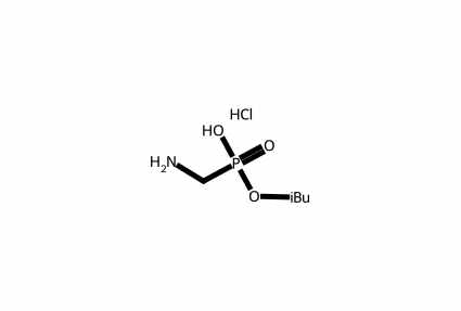 CCC(C)OP(=O)(O)CN.Cl